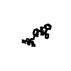 CCOP(=O)(CCc1cccc(-c2nc(=O)c3ccccc3s2)n1)OCC